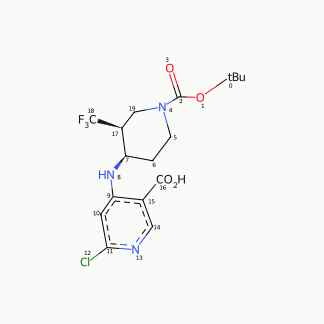 CC(C)(C)OC(=O)N1CC[C@@H](Nc2cc(Cl)ncc2C(=O)O)[C@@H](C(F)(F)F)C1